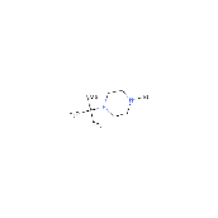 CCN1CCN(C(C)(C)NC)CC1